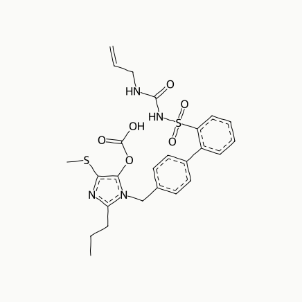 C=CCNC(=O)NS(=O)(=O)c1ccccc1-c1ccc(Cn2c(CCC)nc(SC)c2OC(=O)O)cc1